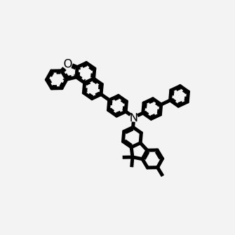 CC1C=CC2=C(C1)C(C)(C)C1=CC=C(N(c3ccc(-c4ccccc4)cc3)c3ccc(-c4ccc5c(ccc6oc7ccccc7c65)c4)cc3)CC12